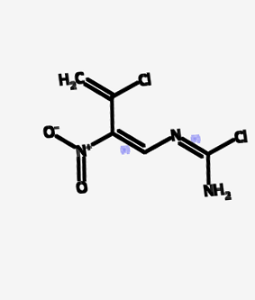 C=C(Cl)/C(=C\N=C(/N)Cl)[N+](=O)[O-]